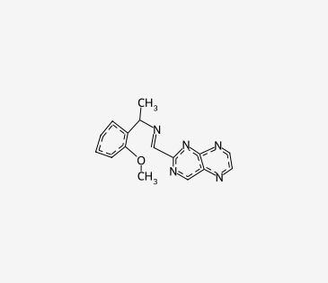 COc1ccccc1C(C)N=Cc1ncc2nccnc2n1